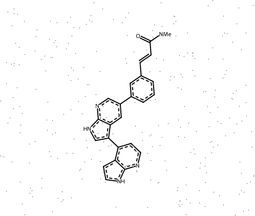 CNC(=O)C=Cc1cccc(-c2cnc3[nH]cc(-c4ccnc5[nH]ccc45)c3c2)c1